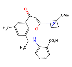 COC12CC(C1)N(c1cc(=O)c3cc(C)cc(C(C)Nc4ccccc4C(=O)O)c3o1)C2